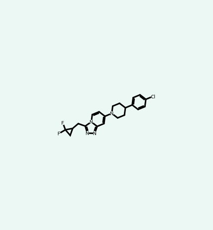 FC1(F)CC1Cc1nnc2cc(N3CCC(c4ccc(Cl)cc4)CC3)ccn12